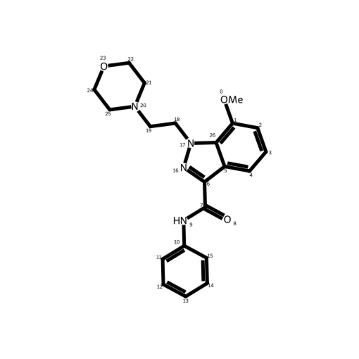 COc1cccc2c(C(=O)Nc3ccccc3)nn(CCN3CCOCC3)c12